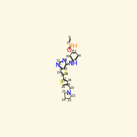 C=CPOc1cccc(Nc2ncnc3cc(-c4cc(CN5CCCC5)cs4)sc23)c1